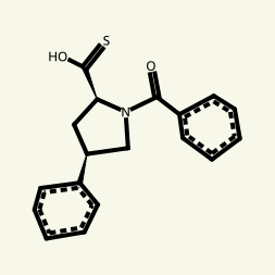 O=C(c1ccccc1)N1C[C@@H](c2ccccc2)C[C@H]1C(O)=S